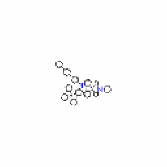 c1ccc(-c2ccc(-c3ccc(N(c4ccc5c(c4)C(c4ccccc4)(c4ccccc4)c4ccccc4-5)c4cccc5c4-c4ccccc4C54c5ccccc5N(c5ccccc5)c5ccccc54)cc3)cc2)cc1